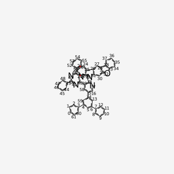 c1ccc(-c2cc(-c3ccccc3)cc(-c3cnc(-n4c5ccccc5c5cc6c(cc54)oc4ccccc46)c(-c4nc(-c5ccccc5)nc(-c5ccccc5)n4)c3)c2)cc1